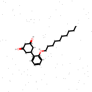 CCCCCCCCCCOc1ccccc1C1CC(=O)CC(=O)C1